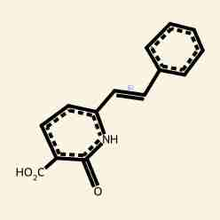 O=C(O)c1ccc(/C=C/c2ccccc2)[nH]c1=O